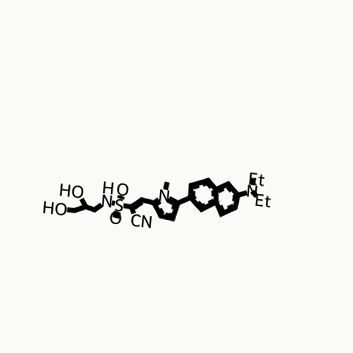 CCN(CC)c1ccc2cc(-c3ccc(/C=C(\C#N)S(=O)(=O)NCC(O)CO)n3C)ccc2c1